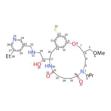 CCCN1CCC(COC)COc2cc(F)cc(c2)CC(C(O)CNCc2cncc(CC)c2)NC(=O)CCCC1=O